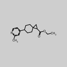 CCOC(=O)C1CC12CCC(c1ccnc(C)c1)CC2